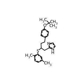 Cc1ccc(C)c(SC(CCc2ccc(OC(C)(C)C)cc2)Cc2ncc[nH]2)c1